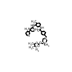 Cc1ccc(NC(=O)c2ccc(CN3CC[N+](C)(COC(=O)OC(C)C(C)C)CC3)cc2)cc1NC1=C[C@@](N)(c2cccnc2)CCN1